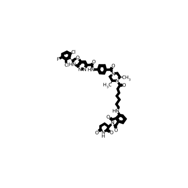 C[C@@H]1CN(C(=O)c2ccc(NC(=O)c3cc4c(nn3)N[C@H](c3c(Cl)ccc(F)c3Cl)O4)cc2)C[C@H](C)N1C(=O)CCCCCCNc1cccc2c1C(=O)N(C1CCC(=O)NC1=O)C2=O